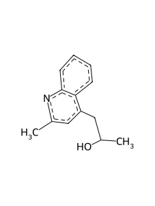 Cc1cc(CC(C)O)c2ccccc2n1